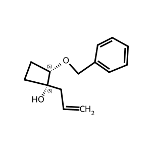 C=CC[C@@]1(O)CC[C@@H]1OCc1ccccc1